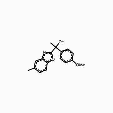 COc1ccc(C(C)(O)c2nc3cc(C)ccc3o2)cc1